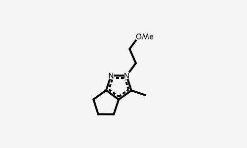 COCCn1nc2c(c1C)CCC2